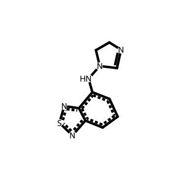 C1=NCCN1Nc1cccc2nsnc12